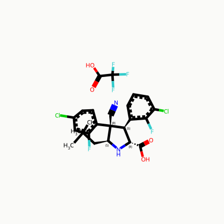 CC(C)(C)C[C@@H]1N[C@@H](C(=O)O)[C@H](c2cccc(Cl)c2F)[C@@]1(C#N)c1ccc(Cl)cc1F.O=C(O)C(F)(F)F